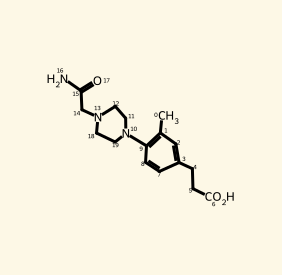 Cc1cc(CCC(=O)O)ccc1N1CCN(CC(N)=O)CC1